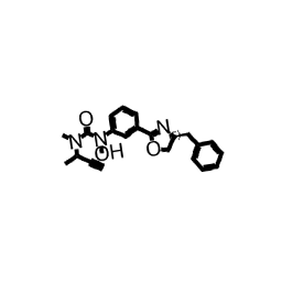 C#CC(C)N(C)C(=O)N(O)c1cccc(C2=N[C@@H](Cc3ccccc3)CO2)c1